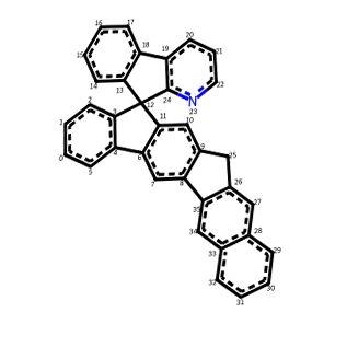 c1ccc2c(c1)-c1cc3c(cc1C21c2ccccc2-c2cccnc21)Cc1cc2ccccc2cc1-3